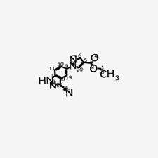 CCOC(=O)c1cnn(-c2ccc3[nH]nc(C#N)c3c2)c1